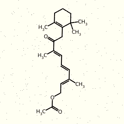 CC(=O)OCC=C(C)C=CC=C(C)C(=O)CC1=C(C)CCCC1(C)C